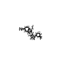 CCn1c(Cc2c(C)cnn2-c2cccc(F)c2)nc2cc(C#N)ccc21